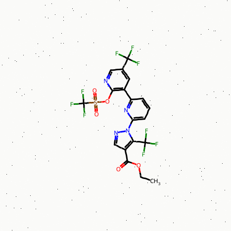 CCOC(=O)c1cnn(-c2cccc(-c3cc(C(F)(F)F)cnc3OS(=O)(=O)C(F)(F)F)n2)c1C(F)(F)F